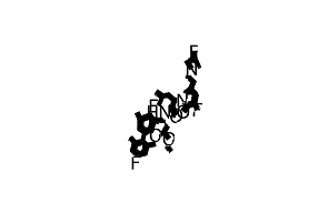 CCOC(=O)C[C@H](NC(=O)C(CC(C)C)n1cc(CCN2CC(F)C2)cc(F)c1=O)c1cc(-c2c(C)cc(F)cc2C)cc(C)c1F